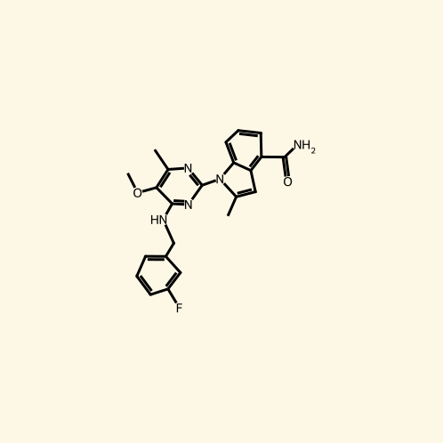 COc1c(C)nc(-n2c(C)cc3c(C(N)=O)cccc32)nc1NCc1cccc(F)c1